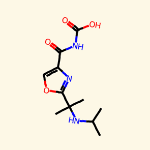 CC(C)NC(C)(C)c1nc(C(=O)NC(=O)O)co1